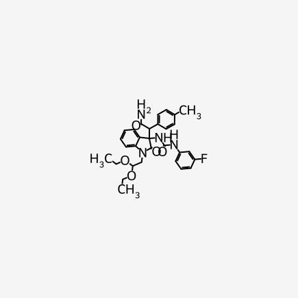 CCOC(CN1C(=O)C(NC(=O)Nc2cccc(F)c2)(C(C(N)=O)c2ccc(C)cc2)c2ccccc21)OCC